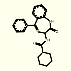 O=C1Nc2ccccc2C(c2ccccc2)=NC1NC(=O)N1CCCCC1